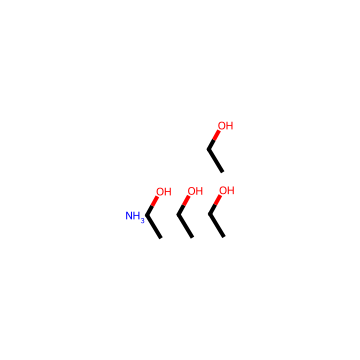 CCO.CCO.CCO.CCO.N